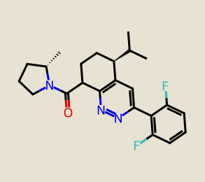 CC(C)[C@@H]1CCC(C(=O)N2CCC[C@@H]2C)c2nnc(-c3c(F)cccc3F)cc21